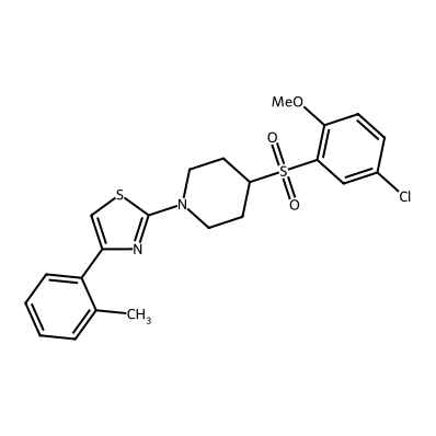 COc1ccc(Cl)cc1S(=O)(=O)C1CCN(c2nc(-c3ccccc3C)cs2)CC1